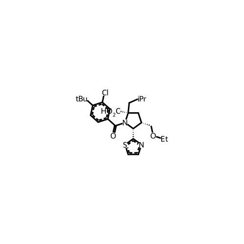 CCOC[C@H]1C[C@@](CC(C)C)(C(=O)O)N(C(=O)c2ccc(C(C)(C)C)c(Cl)c2)[C@H]1c1nccs1